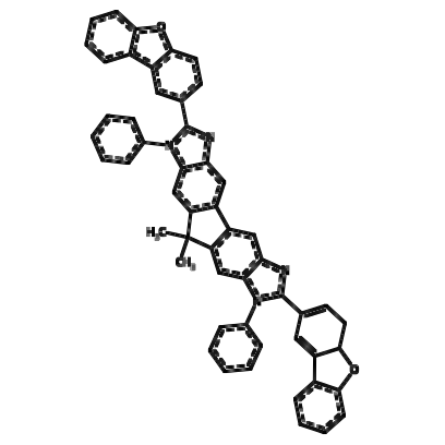 CC1(C)c2cc3c(cc2-c2cc4nc(-c5ccc6oc7ccccc7c6c5)n(-c5ccccc5)c4cc21)nc(C1=CCC2Oc4ccccc4C2=C1)n3-c1ccccc1